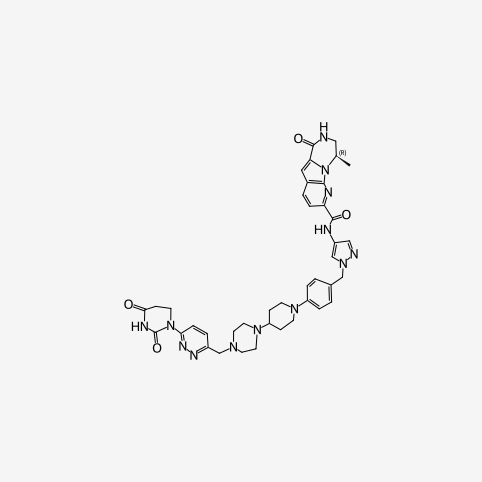 C[C@@H]1CNC(=O)c2cc3ccc(C(=O)Nc4cnn(Cc5ccc(N6CCC(N7CCN(Cc8ccc(N9CCC(=O)NC9=O)nn8)CC7)CC6)cc5)c4)nc3n21